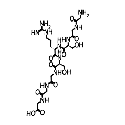 N=C(N)NCCC[C@H](NC(=O)[C@H](CO)NC(=O)CNC(=O)CN)C(=O)N[C@@H](CO)C(=O)NCC(=O)NCC(=O)NCC(=O)O